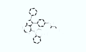 C=CC(=O)Nc1ccc(-c2c(-c3ccccc3)oc3ncnc(N(CC)c4ccccc4O)c23)cc1